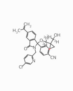 [2H]C([2H])(O)C1(C([2H])([2H])OC2(c3ccc(C#N)cc3)c3ccc(C(=C)C)cc3C(=O)N2Cc2ccc(Cl)cn2)CC1